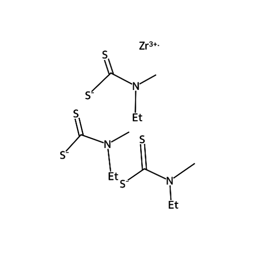 CCN(C)C(=S)[S-].CCN(C)C(=S)[S-].CCN(C)C(=S)[S-].[Zr+3]